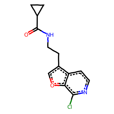 O=C(NCCc1coc2c(Cl)nccc12)C1CC1